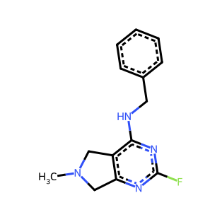 CN1Cc2nc(F)nc(NCc3ccccc3)c2C1